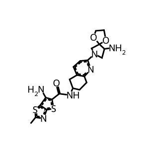 Cc1nc2sc(C(=O)NC3CCc4nc(N5CC(N)C6(C5)OCCO6)ccc4C3)c(N)c2s1